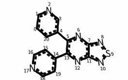 c1cncc(-c2nc3nsnc3nc2-c2ccncc2)c1